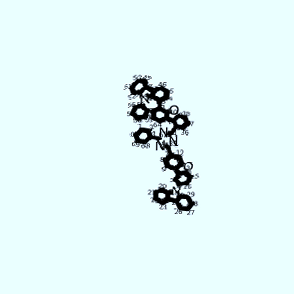 c1ccc(-c2nc(-c3ccc4c(c3)oc3ccc(-n5c6ccccc6c6ccccc65)cc34)nc(-c3cccc4oc5c(-c6cccc7c8ccccc8n(-c8ccccc8)c67)cccc5c34)n2)cc1